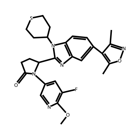 COc1ncc(N2C(=O)CCC2c2nc3cc(-c4c(C)noc4C)ccc3n2C2CCSCC2)cc1F